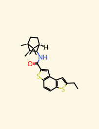 CCc1cc2c(ccc3sc(C(=O)N[C@@H]4[C@H]5CC[C@@](C)([C@@H]4C)C5(C)C)cc32)s1